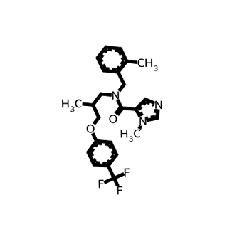 Cc1ccccc1CN(CC(C)COc1ccc(C(F)(F)F)cc1)C(=O)c1cncn1C